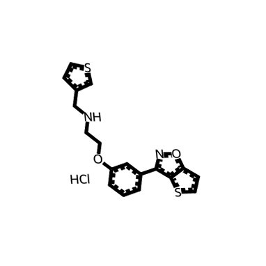 Cl.c1cc(OCCNCc2ccsc2)cc(-c2noc3ccsc23)c1